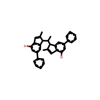 CC1=Cc2c(Br)cc(-c3ccccc3)cc2C1C(C)C1C(C)=Cc2c(Br)cc(-c3ccccc3)cc21